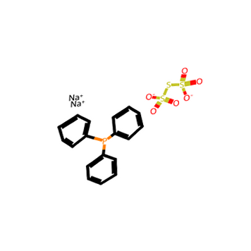 O=S(=O)([O-])SS(=O)(=O)[O-].[Na+].[Na+].c1ccc(P(c2ccccc2)c2ccccc2)cc1